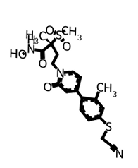 Cc1cc(SCC#N)ccc1-c1ccn(CC[C@](C)(C(=O)NO)S(C)(=O)=O)c(=O)c1